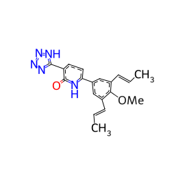 CC=Cc1cc(-c2ccc(-c3nnn[nH]3)c(=O)[nH]2)cc(C=CC)c1OC